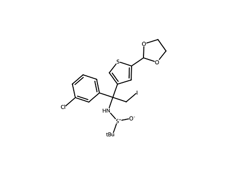 CC(C)(C)[S+]([O-])NC(CI)(c1cccc(Cl)c1)c1csc(C2OCCO2)c1